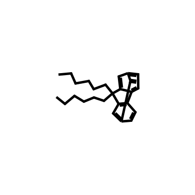 C=C1c2ccc3c(c2)C(CCCCCC)(CCCCCC)c2cc1ccc2-3